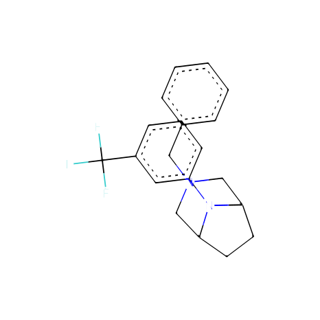 FC(F)(F)c1cccc(N2C3CCC2CN(Cc2ccccc2)C3)c1